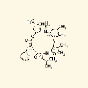 CC(C)CC1OC(=O)[C@H](Cc2ccccc2)NC(=O)[C@H](CC(C)C)NC(=O)[C@H](C(C)C)NC(=O)[C@H](CC(C)C)N(C)C1=O